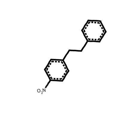 O=[N+]([O-])c1ccc(CCc2cc[c]cc2)cc1